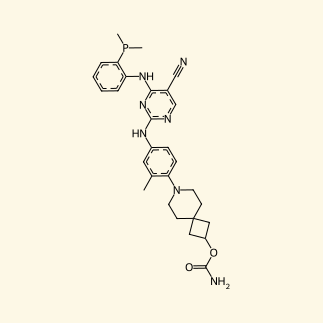 Cc1cc(Nc2ncc(C#N)c(Nc3ccccc3P(C)C)n2)ccc1N1CCC2(CC1)CC(OC(N)=O)C2